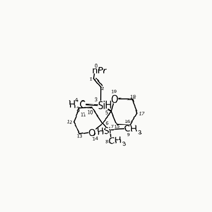 CCCC=C[SiH](C)C1(C2([SiH](C)C)CCCCO2)CCCCO1